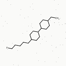 CCC1CCC(C2CCC(CCCCCF)CC2)CC1